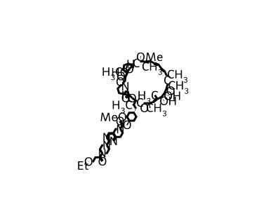 CCOCCC(=O)N1CCN(c2ncc3c(n2)CCN(C(=O)O[C@@H]2CC[C@@H](C[C@@H](C)[C@@H]4CC(=O)[C@H](C)/C=C(\C)[C@@H](O)[C@@H](O)C(=O)[C@H](C)C[C@H](C)/C=C/C=C/C=C(\C)[C@@H](OC)C[C@@H]5CC[C@@H](C)[C@@](O)(O5)C(=O)C(=O)N5CCCC[C@H]5C(=O)O4)C[C@H]2OC)C3)CC1